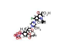 COc1c(N2CCN(C(=O)CC(C)(C)C3=C/C(=[P+](\[O-])CP(=O)(O)O)CC=C3OC(=O)C(C)C)C(C)C2)c(F)cc2c(=O)c(C(=O)O)cn(C3CC3)c12